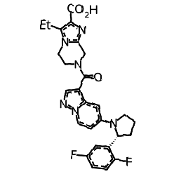 CCc1c(C(=O)O)nc2n1CCN(C(=O)c1cnn3ccc(N4CCC[C@@H]4c4cc(F)ccc4F)cc13)C2